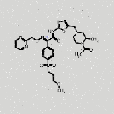 COCCCS(=O)(=O)c1ccc(/C(=N\OCc2ncccn2)C(=O)Nc2ncc(CN3CCN(C(C)=O)C(C)C3)s2)cc1